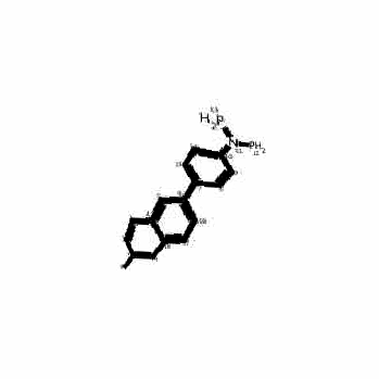 Cc1ccc2cc(-c3ccc(N(P)P)cc3)ccc2c1